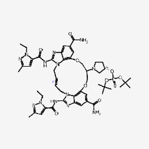 CCn1nc(C)cc1C(=O)Nc1nc2cc(C(N)=O)cc3c2n1C/C=C/Cn1c(NC(=O)c2cc(C)nn2CC)nc2cc(C(N)=O)cc(c21)OCC(N1CC[C@H](OP(=O)(OC(C)(C)C)OC(C)(C)C)C1)CO3